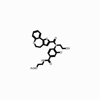 CC(=O)NCCNC(=O)c1ccc(N(CCO)C(=O)c2cc3c(s2)-c2ccccc2OCC3)c(Cl)c1